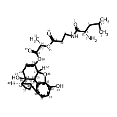 CC(C)C[C@H](N)C(=O)NCCC(=O)O[C@@H](C)C(=O)OC1=CC[C@@]2(O)[C@@H]3CCC[C@@]24c2c(ccc(O)c2O[C@@H]14)C3